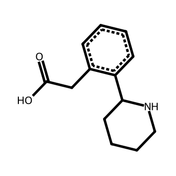 O=C(O)Cc1ccccc1C1CCCCN1